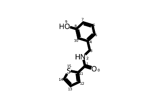 O=C(NCc1cccc(O)c1)c1cccs1